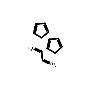 C1=CCC=C1.C1=CCC=C1.C=CC=C